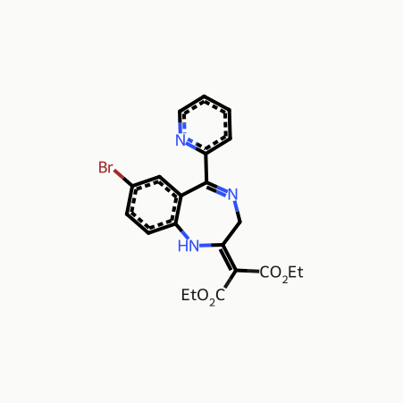 CCOC(=O)C(C(=O)OCC)=C1CN=C(c2ccccn2)c2cc(Br)ccc2N1